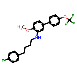 COc1ccc(-c2ccc(OC(F)(F)F)cc2)cc1NCCCCc1ccc(F)cc1